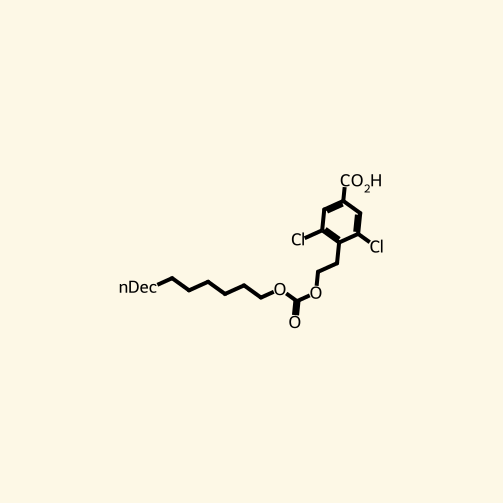 CCCCCCCCCCCCCCCCOC(=O)OCCc1c(Cl)cc(C(=O)O)cc1Cl